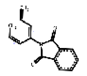 C=C/C=C(\C=C/C)N1C(=O)c2ccccc2C1=O